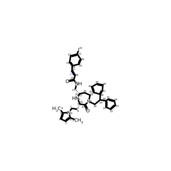 Cc1ccc(C)n1CC[C@@H]1N[C@H](CNC(=O)/C=C/c2ccc(I)cc2)CCN(CC(c2ccccc2)c2ccccc2)C1=O